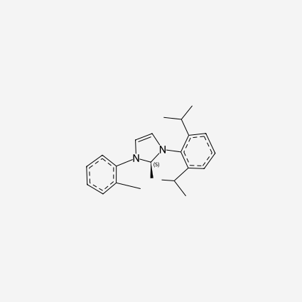 Cc1ccccc1N1C=CN(c2c(C(C)C)cccc2C(C)C)[C@H]1C